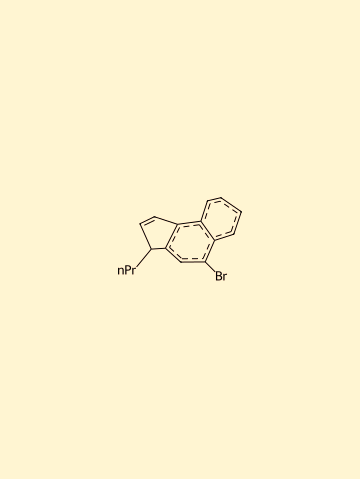 CCCC1C=Cc2c1cc(Br)c1ccccc21